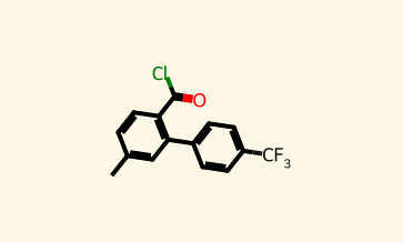 Cc1ccc(C(=O)Cl)c(-c2ccc(C(F)(F)F)cc2)c1